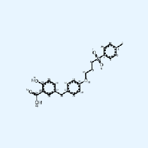 Cc1ccc(S(=O)(=O)CCCOc2ccc(Cc3ccc(O)c(C(=O)O)c3)cc2)cc1